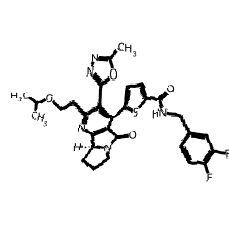 Cc1nnc(-c2c(CCOC(C)C)nc3c(c2-c2ccc(C(=O)NCc4ccc(F)c(F)c4)s2)C(=O)N2CCC[C@@H]32)o1